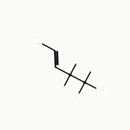 FC(F)(F)C(F)(F)C(F)(F)C=CBr